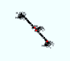 CC(C)[C@H](NC(=O)CCOCCOCCOCCOCCNC(=O)CC[C@H](NC(=O)OC(C)(C)C)C(=O)NCCOCCOCCOCCOCCC(=O)N[C@H](C(=O)N[C@@H](C)C(=O)O)C(C)C)C(=O)N[C@@H](C)C(=O)O